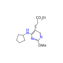 CCOC(=O)CCc1cnc(OC)nc1NC1CCCC1